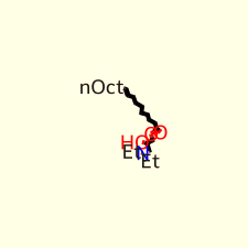 CCCCCCCCC=CCCCCCCCC(=O)OCC(O)CN(CC)CC